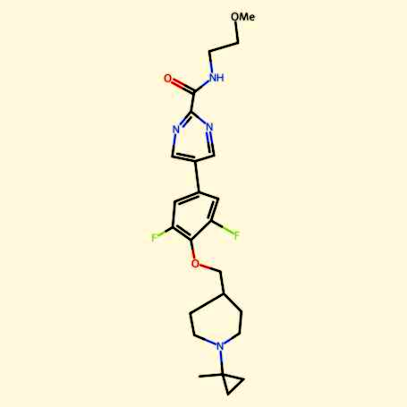 COCCNC(=O)c1ncc(-c2cc(F)c(OCC3CCN(C4(C)CC4)CC3)c(F)c2)cn1